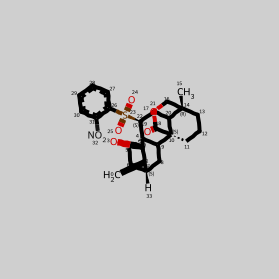 C=C1C(=O)[C@]23CC[C@H]1CC2[C@@]12CCC[C@@](C)(COC1=O)C2C[C@@H]3S(=O)(=O)c1ccccc1[N+](=O)[O-]